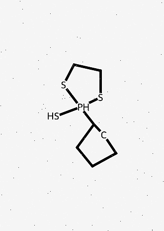 S[PH]1(C2CCCC2)SCCS1